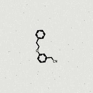 N#C[CH]c1cccc(OCCc2ccccc2)c1